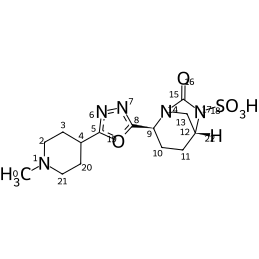 CN1CCC(c2nnc([C@@H]3CC[C@@H]4CN3C(=O)N4S(=O)(=O)O)o2)CC1